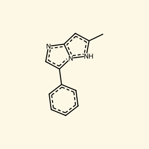 Cc1cc2ncc(-c3ccccc3)n2[nH]1